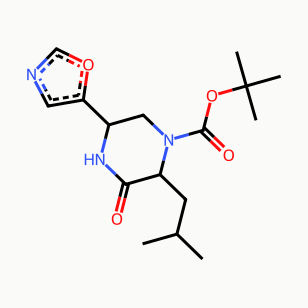 CC(C)CC1C(=O)NC(c2cnco2)CN1C(=O)OC(C)(C)C